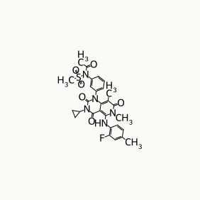 CC(=O)N(c1cccc(-n2c(=O)n(C3CC3)c(=O)c3c(Nc4ccc(C)cc4F)n(C)c(=O)c(C)c32)c1)S(C)(=O)=O